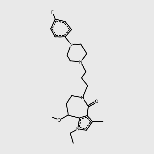 CCn1cc(C)c2c1C(OC)CCN(CCCN1CCN(c3ccc(F)cc3)CC1)C2=O